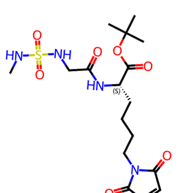 CNS(=O)(=O)NCC(=O)N[C@@H](CCCCN1C(=O)C=CC1=O)C(=O)OC(C)(C)C